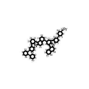 CC(C)c1ccc(-c2ccc3c(c2)c2cc(-c4cccc5c4ccc4c5c5cccc6c7cc(-c8ccccc8-c8ccccc8)ccc7n4c65)cc4c5c6ccccc6ccc5n3c24)cc1